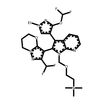 CCn1cc(-c2c(-c3c(C(F)F)nn4c3OCCC4)n(COCC[Si](C)(C)C)c3ncccc23)c(OC(F)F)n1